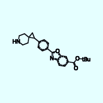 CC(C)(C)OC(=O)c1ccc2nc(-c3ccc(C4CC45CCNCC5)cc3)oc2c1